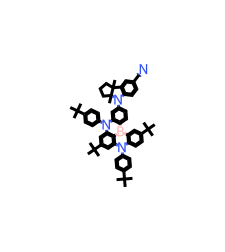 CC(C)(C)c1ccc(N2c3ccc(C(C)(C)C)cc3B3c4ccc(N5c6ccc(C#N)cc6C6(C)CCCC56C)cc4N(c4ccc(C(C)(C)C)cc4)c4cc(C(C)(C)C)cc2c43)cc1